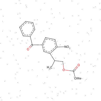 COC(=O)OCC(C)c1cc(C(=O)c2ccccc2)ccc1[N+](=O)[O-]